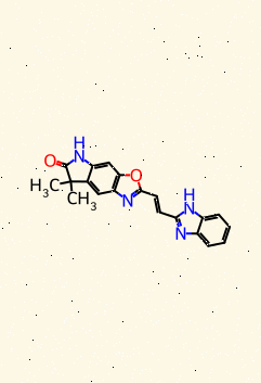 CC1(C)C(=O)Nc2cc3oc(C=Cc4nc5ccccc5[nH]4)nc3cc21